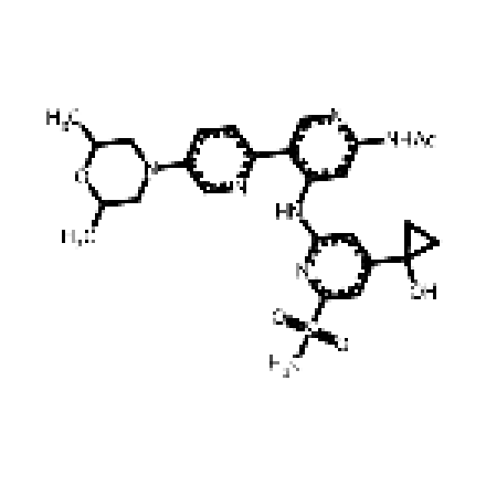 CC(=O)Nc1cc(Nc2cc(C3(O)CC3)cc(S(C)(=O)=O)n2)c(-c2ccc(N3CC(C)OC(C)C3)cn2)cn1